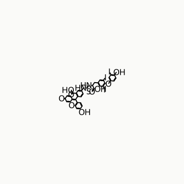 O=C(O)c1cc(NC(=S)NC(Cc2cc(I)c(Oc3ccc(O)c(I)c3)c(I)c2)C(=O)O)ccc1-c1c2ccc(=O)cc-2oc2cc(O)ccc12